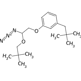 CC(C)(C)COC(COc1cccc(CC(C)(C)C)c1)N=[N+]=[N-]